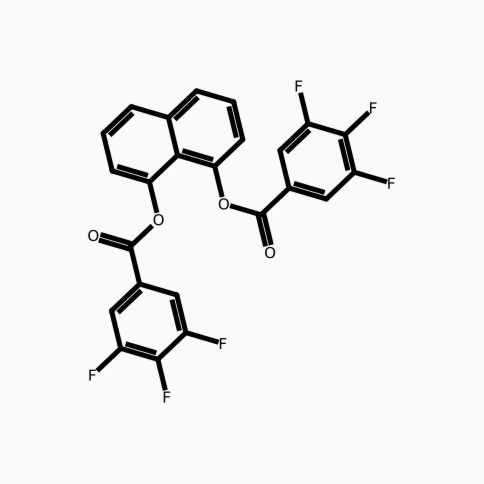 O=C(Oc1cccc2cccc(OC(=O)c3cc(F)c(F)c(F)c3)c12)c1cc(F)c(F)c(F)c1